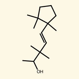 CC(O)C(C)(C)C=CC1(C)CCCC1(C)C